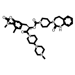 Cc1cc(C[C@@H](OC(=O)N2CCC(N3CCc4ccccc4NC3=O)CC2)C(=O)N2CCC(N3CCN(C)CC3)CC2)cc2oc(=O)n(C)c12